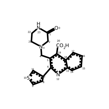 O=C1CN(Cc2c(-c3ccsc3)nc3ccccc3c2C(=O)O)CCN1